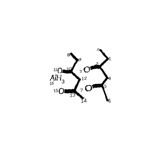 CCC(=O)CC(C)=O.CCC(=O)CC(C)=O.[AlH3]